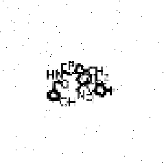 C=C1CC[C@H](CC(CCC)NC(=O)Cc2cccc(O)c2)[C@@]1(C)C/C(C=N)=C(\C)Nc1ccc(F)cc1